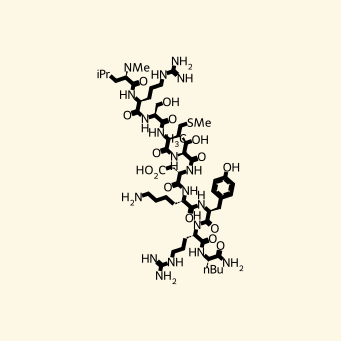 CCCC[C@H](NC(=O)[C@H](CCCNC(=N)N)NC(=O)[C@H](Cc1ccc(O)cc1)NC(=O)[C@H](CCCCN)NC(=O)[C@H](CC(=O)O)NC(=O)[C@@H](NC(=O)[C@H](CCSC)NC(=O)[C@H](CO)NC(=O)[C@H](CCCNC(=N)N)NC(=O)[C@H](CC(C)C)NC)[C@@H](C)O)C(N)=O